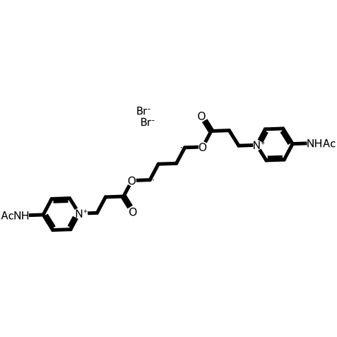 CC(=O)Nc1cc[n+](CCC(=O)O[CH]CC[CH]OC(=O)CC[n+]2ccc(NC(C)=O)cc2)cc1.[Br-].[Br-]